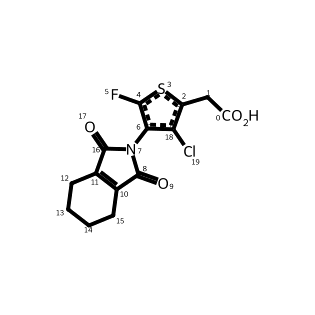 O=C(O)Cc1sc(F)c(N2C(=O)C3=C(CCCC3)C2=O)c1Cl